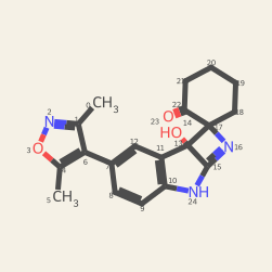 Cc1noc(C)c1-c1ccc2c(c1)C1(O)C(=NC13CCCCC3=O)N2